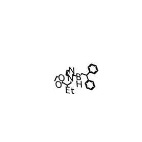 CCC(Cn1ccnc1BCC(c1ccccc1)c1ccccc1)C1OCCO1